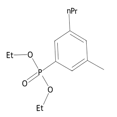 CCCc1cc(C)cc(P(=O)(OCC)OCC)c1